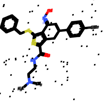 COc1ccc(C2C/C(=N\O)c3c(SCc4ccccc4)sc(C(=O)NCCN(C)C)c3C2)cc1